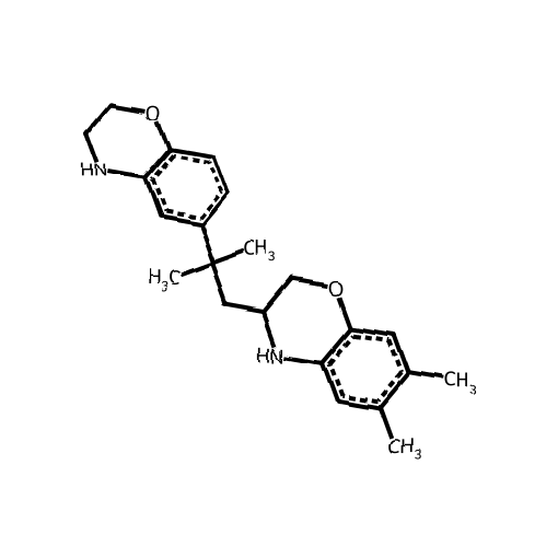 Cc1cc2c(cc1C)OCC(CC(C)(C)c1ccc3c(c1)NCCO3)N2